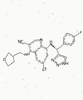 N#Cc1cnc2c(N[C@@H](c3ccc(F)cc3)c3c[nH]nn3)cc(Cl)cc2c1NCC1CCOC1